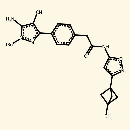 CC12CC(c3cc(NC(=O)Cc4ccc(-c5nn(C(C)(C)C)c(N)c5C#N)cc4)on3)(C1)C2